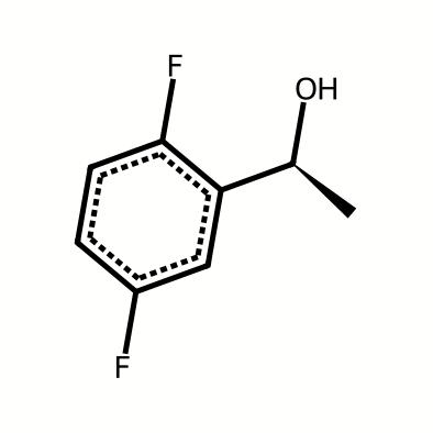 C[C@H](O)c1cc(F)ccc1F